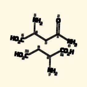 NC(=O)CC(N)C(=O)O.NC(CC(=O)O)C(=O)O